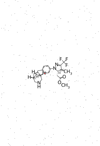 COC(=O)C[C@H]1[C@H](C)C(C(F)(F)F)=NN1c1ccc(C[C@@H]2[C@@H]3CC[C@H]2CNC3)cc1